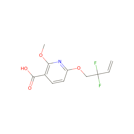 C=CC(F)(F)COc1ccc(C(=O)O)c(OC)n1